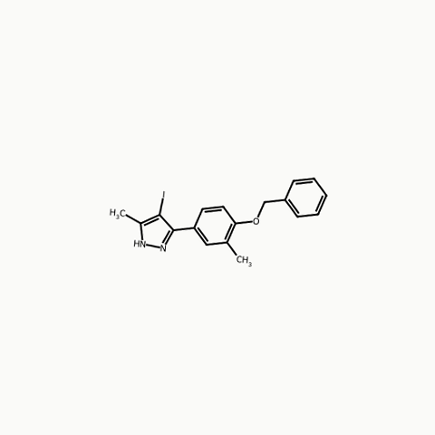 Cc1cc(-c2n[nH]c(C)c2I)ccc1OCc1ccccc1